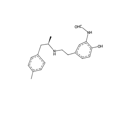 Cc1ccc(C[C@@H](C)NCCc2ccc(O)c(NC=O)c2)cc1